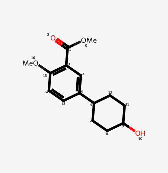 COC(=O)c1cc(C2CCC(O)CC2)ccc1OC